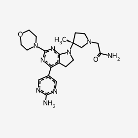 C[C@@]1(N2CCc3c(-c4cnc(N)nc4)nc(N4CCOCC4)nc32)CCN(CC(N)=O)C1